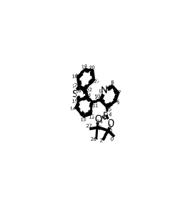 CC1(C)OB(c2cccnc2-c2cccc3sc4ccccc4c23)OC1(C)C